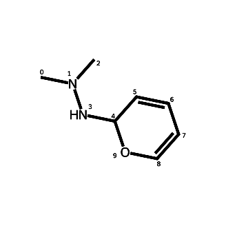 CN(C)NC1C=CC=CO1